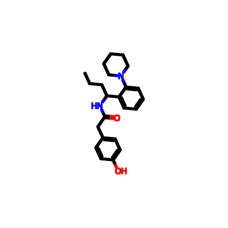 CCCC(NC(=O)Cc1ccc(O)cc1)c1ccccc1N1CCCCC1